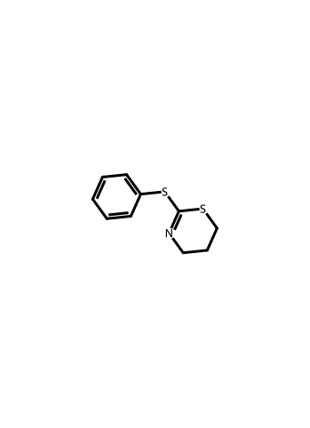 c1ccc(SC2=NCCCS2)cc1